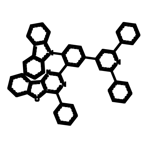 c1ccc(-c2cc(-c3ccc(-n4c5ccccc5c5ccccc54)c(-c4nc(-c5ccccc5)c5oc6ccccc6c5n4)c3)cc(-c3ccccc3)n2)cc1